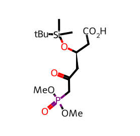 COP(=O)(CC(=O)C[C@H](CC(=O)O)O[Si](C)(C)C(C)(C)C)OC